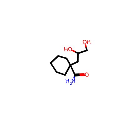 NC(=O)C1(CC(O)CO)CCCCC1